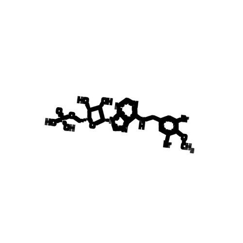 COc1c(Br)cc(CNc2ncnc3c2ncn3[C@@H]2O[C@H](COP(=O)(O)O)[C@@H](O)[C@H]2O)cc1Br